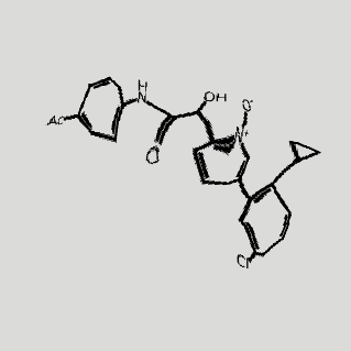 CC(=O)c1ccc(NC(=O)C(O)c2ccc(-c3cc(Cl)ccc3C3CC3)c[n+]2[O-])cc1